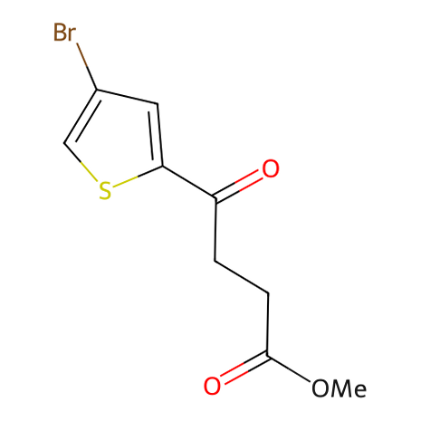 COC(=O)CCC(=O)c1cc(Br)cs1